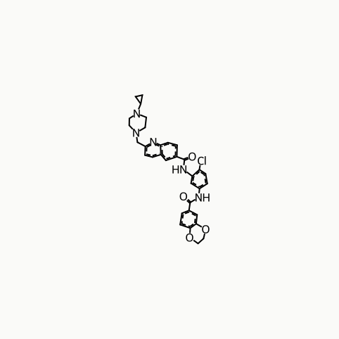 O=C(Nc1ccc(Cl)c(NC(=O)c2ccc3nc(CN4CCN(C5CC5)CC4)ccc3c2)c1)c1ccc2c(c1)OCCO2